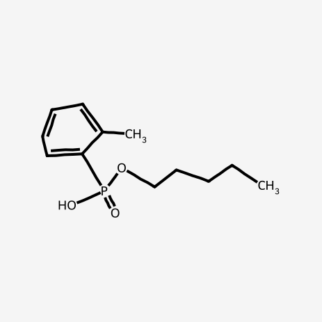 CCCCCOP(=O)(O)c1ccccc1C